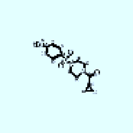 CC(C)(C)c1ccc(S(=O)(=O)N2CCN(C(=O)C3CC3)CC2)cc1